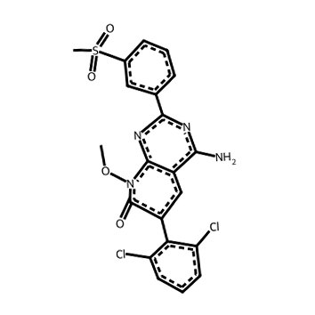 COn1c(=O)c(-c2c(Cl)cccc2Cl)cc2c(N)nc(-c3cccc(S(C)(=O)=O)c3)nc21